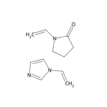 C=CN1CCCC1=O.C=Cn1ccnc1